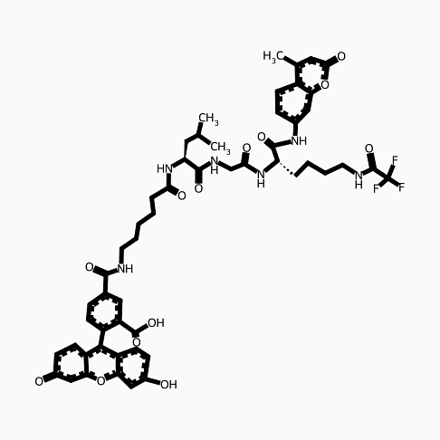 Cc1cc(=O)oc2cc(NC(=O)[C@H](CCCCNC(=O)C(F)(F)F)NC(=O)CNC(=O)[C@H](CC(C)C)NC(=O)CCCCCNC(=O)c3ccc(-c4c5ccc(=O)cc-5oc5cc(O)ccc45)c(C(=O)O)c3)ccc12